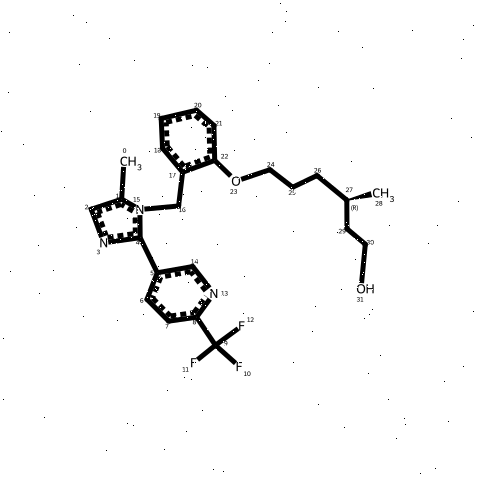 Cc1cnc(-c2ccc(C(F)(F)F)nc2)n1Cc1ccccc1OCCC[C@@H](C)CCO